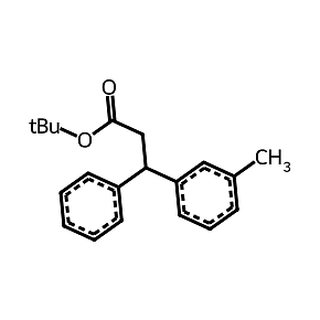 Cc1cccc(C(CC(=O)OC(C)(C)C)c2ccccc2)c1